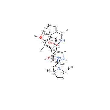 COc1cccc([C@H](C)NC(=O)c2ccc(N3[C@@H]4CC[C@H]3C[C@@H](NC(=O)c3ccc5c(c3C)OCC5)C4)nc2)c1